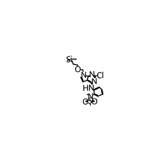 CN(c1ccccc1Nc1nc(Cl)nc2c1ccn2COCC[Si](C)(C)C)S(C)(=O)=O